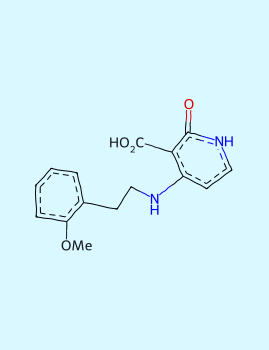 COc1ccccc1CCNc1cc[nH]c(=O)c1C(=O)O